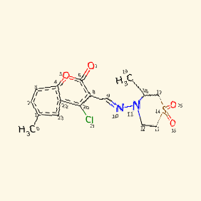 Cc1ccc2oc(=O)c(C=NN3CCS(=O)(=O)CC3C)c(Cl)c2c1